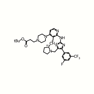 C[C@@H]1CCCN1Cc1sc(Nc2nccc(N3CCN(CCC(=O)OC(C)(C)C)CC3)c2F)nc1-c1cc(F)cc(C(F)(F)F)c1